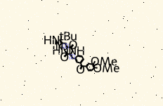 COc1ccc(C(=O)c2cccc(/C=c3\[nH]c(=O)/c(=C/c4nc[nH]c4C(C)(C)C)[nH]c3=O)c2)cc1OC